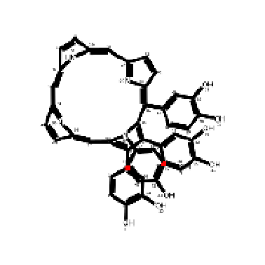 Oc1ccc(-c2c(-c3ccc(O)c(O)c3)c3c(-c4ccc(O)c(O)c4)c4nc(cc5ccc(cc6nc(cc2n3-c2ccc(O)c(O)c2)C=C6)[nH]5)C=C4)cc1O